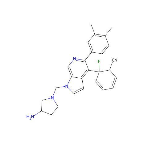 Cc1ccc(-c2ncc3c(ccn3CN3CCC(N)C3)c2C2(F)C=CC=CC2C#N)cc1C